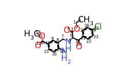 CCOC(=O)C(NCc1cc(C(=O)OC)ccc1N)C(=O)c1ccc(Cl)cc1